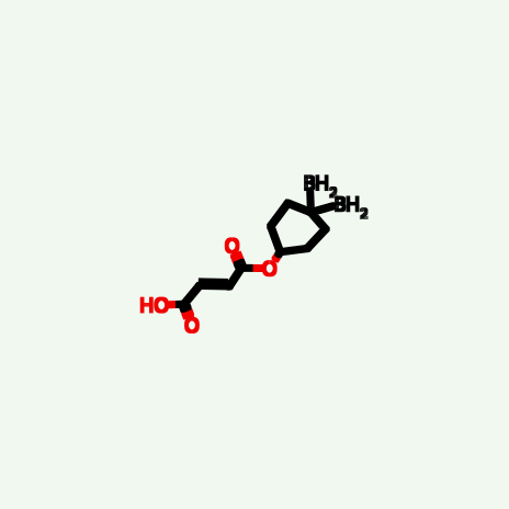 BC1(B)CCC(OC(=O)/C=C/C(=O)O)CC1